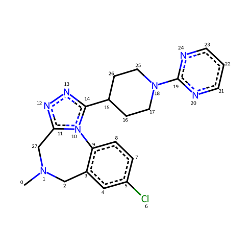 CN1Cc2cc(Cl)ccc2-n2c(nnc2C2CCN(c3ncccn3)CC2)C1